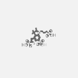 CC1=[N+](CCCS(=O)(=O)O)c2cc(S(=O)(=O)O)c3sc(S(=O)(=O)O)cc3c2C1(C)C